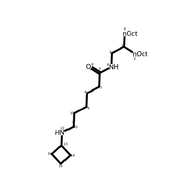 CCCCCCCCC(CCCCCCCC)CNC(=O)CCCCCNC1CCC1